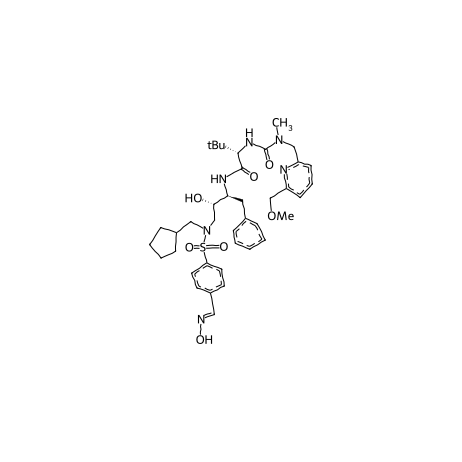 COCc1cccc(CN(C)C(=O)N[C@H](C(=O)N[C@@H](Cc2ccccc2)[C@@H](O)CN(CC2CCCC2)S(=O)(=O)c2ccc(C=NO)cc2)C(C)(C)C)n1